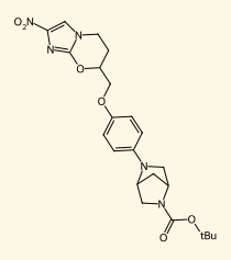 CC(C)(C)OC(=O)N1CC2CC1CN2c1ccc(OCC2CCn3cc([N+](=O)[O-])nc3O2)cc1